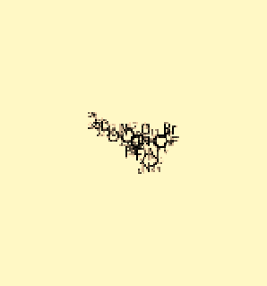 CN1CCN(c2cc(F)c(Br)cc2NC(=O)c2cnc(OCC[Si](C)(C)C)cc2C(F)(F)F)CC1